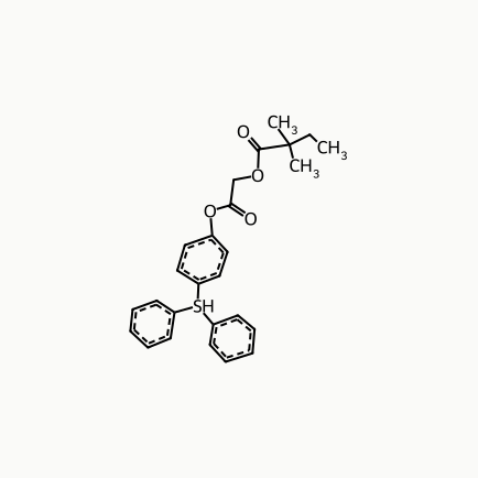 CCC(C)(C)C(=O)OCC(=O)Oc1ccc([SH](c2ccccc2)c2ccccc2)cc1